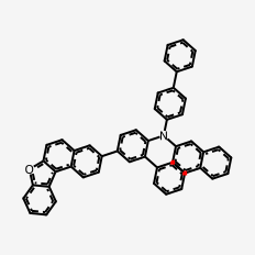 c1ccc(-c2ccc(N(c3ccc4ccccc4c3)c3ccc(-c4ccc5c(ccc6oc7ccccc7c65)c4)cc3-c3ccccc3)cc2)cc1